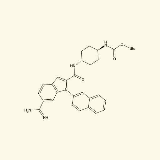 CC(C)(C)OC(=O)N[C@H]1CC[C@H](NC(=O)c2cc3ccc(C(=N)N)cc3n2-c2ccc3ccccc3c2)CC1